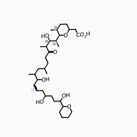 CC(CCC(=O)C(C)[C@@H](O)[C@H](C)C1OC(CC(=O)O)CC[C@@H]1C)CC(C)C(O)/C=C\CC(O)CCC(O)C1CCCCO1